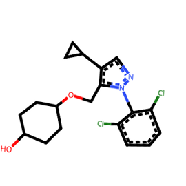 OC1CCC(OCc2c(C3CC3)cnn2-c2c(Cl)cccc2Cl)CC1